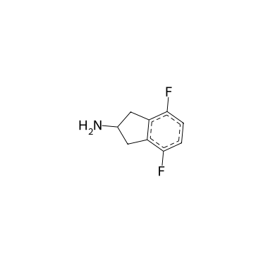 NC1Cc2c(F)ccc(F)c2C1